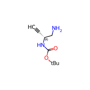 C#C[C@H](CN)NC(=O)OC(C)(C)C